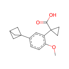 COc1ccc(C23CC(C2)C3)cc1C1(C(=O)O)CC1